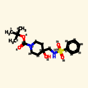 CC(C)(C)OC(=O)N1CCC(O)(CNS(=O)(=O)c2ccccc2)CC1